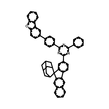 c1ccc(-c2nc(-c3ccc(-c4ccc5oc6ccccc6c5c4)cc3)nc(-c3ccc4c(c3)C3(c5cc6ccccc6cc5-4)C4CC5CC(C4)CC3C5)n2)cc1